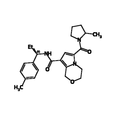 CC[C@@H](NC(=O)c1cc(C(=O)N2CCCC2C)n2c1COCC2)c1ccc(C)cc1